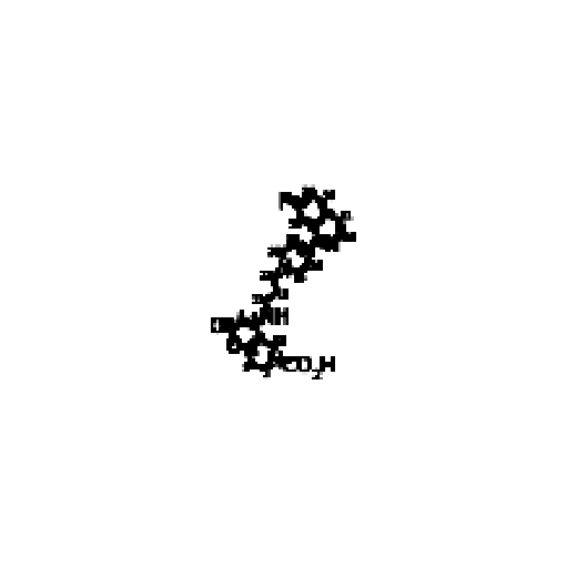 O=C(O)N1CCc2oc(=O)cc(NCCCN3CCN(c4nccc5ccc(F)cc45)CC3)c2C1